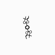 CC=C(OC(=O)c1ccc(C(=O)OC(=CC)C(C)(C)C)cc1)C(C)(C)C